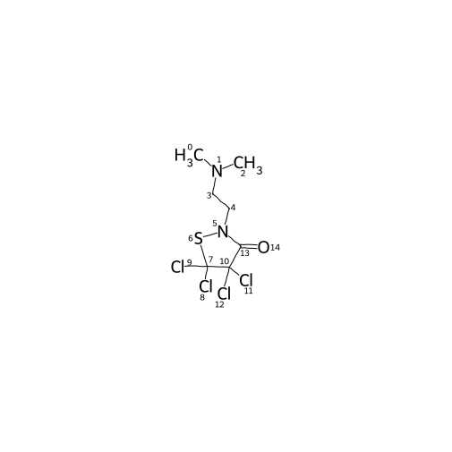 CN(C)CCN1SC(Cl)(Cl)C(Cl)(Cl)C1=O